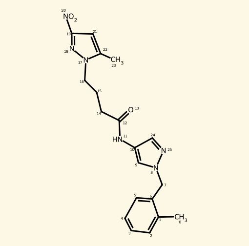 Cc1ccccc1Cn1cc(NC(=O)CCCn2nc([N+](=O)[O-])cc2C)cn1